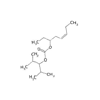 CC/C=C\CC(CC)OC(=O)OC(C(C)C)C(C)C